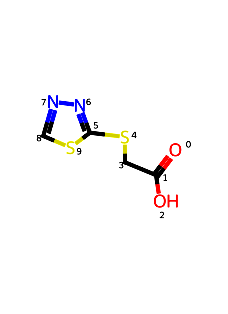 O=C(O)CSc1nncs1